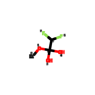 CCOC(O)(O)C(F)F